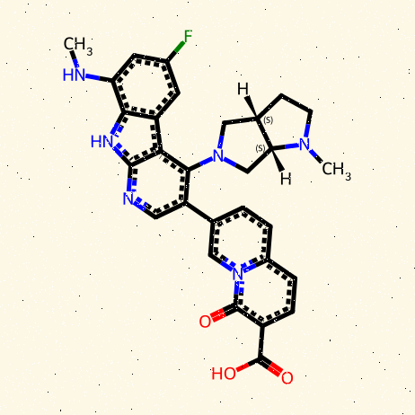 CNc1cc(F)cc2c1[nH]c1ncc(-c3ccc4ccc(C(=O)O)c(=O)n4c3)c(N3C[C@@H]4CCN(C)[C@@H]4C3)c12